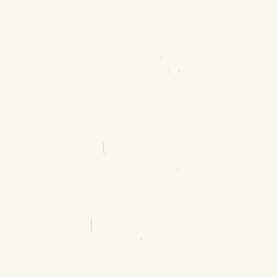 CCS(=O)(=O)Cc1ccc(C(=O)c2ccc(Cl)c(OC)c2)c(Br)c1